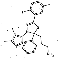 Cc1ncc(N2N=C(c3cc(F)ccc3F)SC2(CCCN)c2ccccc2)n1C